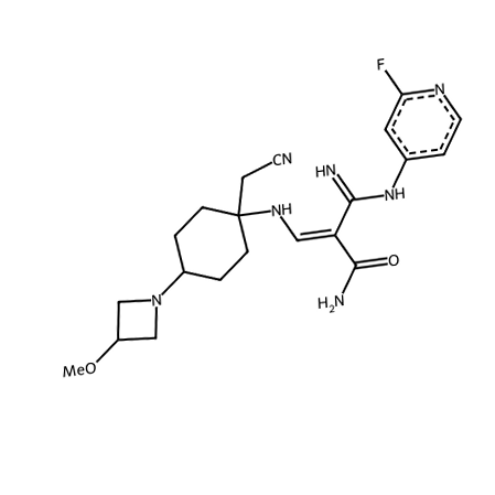 COC1CN(C2CCC(CC#N)(N/C=C(\C(=N)Nc3ccnc(F)c3)C(N)=O)CC2)C1